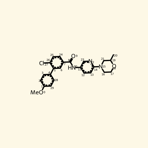 COc1ccc(-c2cc(C(=O)Nc3ccc(N4CCOC(C)C4)nc3)ccc2Cl)cc1